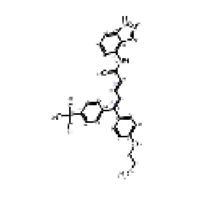 CCCOc1ccc(/C(=C/C=C/C(=O)Nc2cccc3[nH]ncc23)c2ccc(C(F)(F)F)cc2)cc1